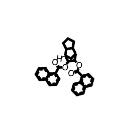 O=C(OC1C2C[C@H](C3CCCC23)C1OC(=O)c1cccc2ccccc12)c1cccc2ccccc12